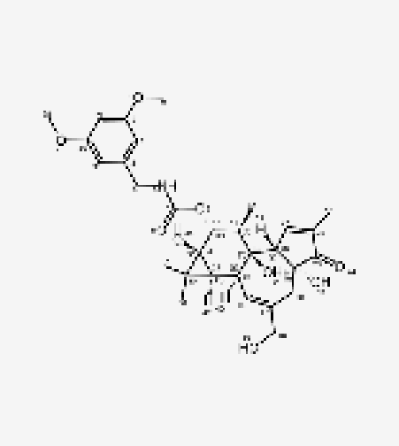 COc1cc(CNC(=O)O[C@@H]2[C@@H](C)[C@@]3(O)[C@@H](C=C(CO)C[C@]4(O)C(=O)C(C)=C[C@@H]34)[C@H]3C(C)(C)[C@]23O)cc(OC)c1